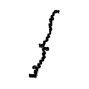 CSC/N=C/[S+]([O-])CSCSCSCSCSC(=O)NCSCSCSCSC/N=C/OOCCCO